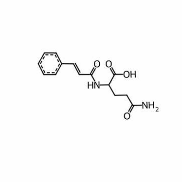 NC(=O)CCC(NC(=O)C=Cc1ccccc1)C(=O)O